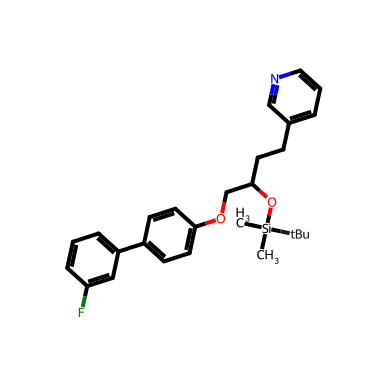 CC(C)(C)[Si](C)(C)OC(CCc1cccnc1)COc1ccc(-c2cccc(F)c2)cc1